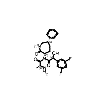 C[C@H](N)C(=O)N(C(=O)[C@@H](O)c1cc(F)cc(F)c1)[C@H]1CC[C@@H](c2ccccc2)CNC1=O